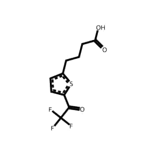 O=C(O)CCCc1ccc(C(=O)C(F)(F)F)s1